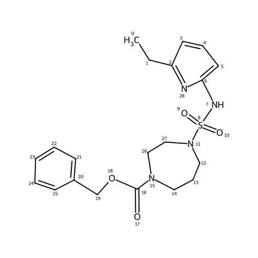 CCc1cccc(NS(=O)(=O)N2CCCN(C(=O)OCc3ccccc3)CC2)n1